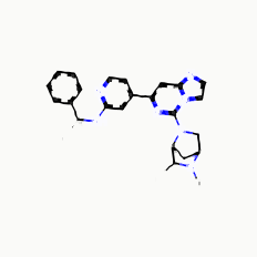 CC(C)N1C2CC(C1C)N(c1nc(-c3ccnc(N[C@@H](C)c4ccccc4)c3)cc3nccn13)C2